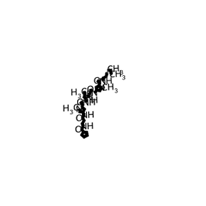 CN(C)CCCNC(=O)c1cc(NC(=O)c2nc(NC(=O)c3cc(NC(=O)CCNC(=O)C4=CC=CC4)cn3C)cn2C)cn1C